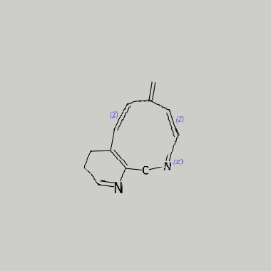 C=C1/C=C\C=N/CC2=C(/C=C\1)CCC=N2